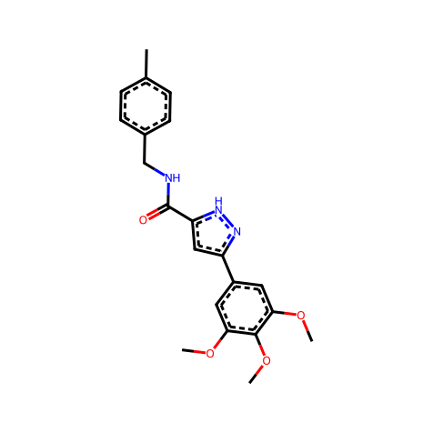 COc1cc(-c2cc(C(=O)NCc3ccc(C)cc3)[nH]n2)cc(OC)c1OC